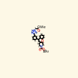 COC(=O)Cn1nnc(-c2cccc(C3=CC4(CCN(C(=O)OC(C)(C)C)CC4)Oc4ccccc43)c2)n1